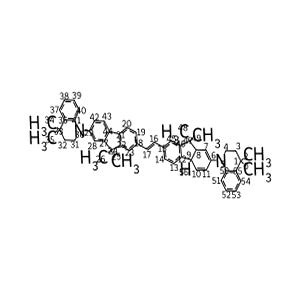 CC1(C)CCN(C2=CC3[C@H](C=C2)c2ccc(/C=C/c4ccc5c(c4)C(C)(C)c4cc(N6CCC(C)(C)c7ccccc76)ccc4-5)cc2C3(C)C)c2ccccc21